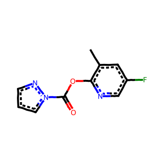 Cc1cc(F)cnc1OC(=O)n1cccn1